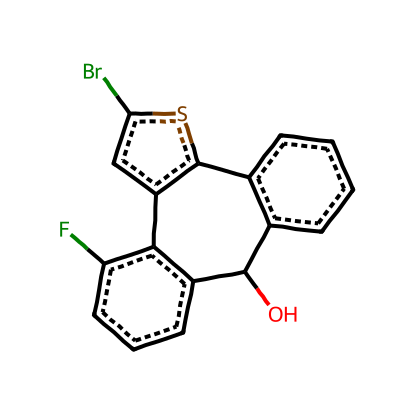 OC1c2ccccc2-c2sc(Br)cc2-c2c(F)cccc21